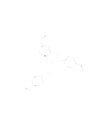 C=Cc1ccc(B(O)OB(OB(O)c2ccc(C=C)cc2)c2ccc(C=C)cc2)cc1